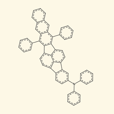 c1ccc(-c2c3c(c(-c4ccccc4)c4cc5ccccc5cc24)-c2ccc4c5c(ccc-3c25)-c2ccc(N(c3ccccc3)c3ccccc3)cc2-4)cc1